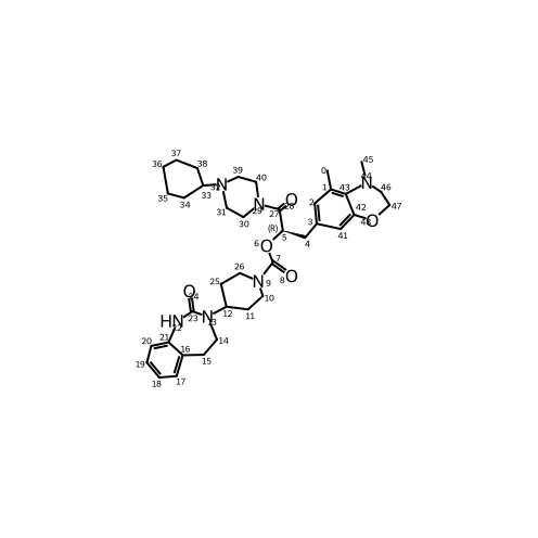 Cc1cc(C[C@@H](OC(=O)N2CCC(N3CCc4ccccc4NC3=O)CC2)C(=O)N2CCN(C3CCCCC3)CC2)cc2c1N(C)CCO2